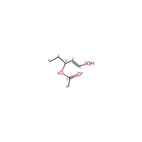 CCC(C=CO)OC(C)=O